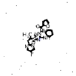 C[C@H](Cc1ncc(F)cn1)S(=O)(=O)/N=C(\NNC(=O)c1ccco1)NC1CCCCC1